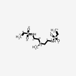 C=CS(=O)(=O)NCCN(C)CCNS(=O)(=O)C=C